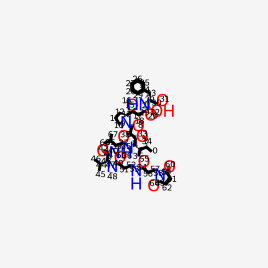 CCC(C)[C@@H](C(CC(=O)N1CCC[C@H]1[C@H](OC)[C@@H](C)C(=O)N[C@@H](Cc1ccccc1)C(=O)O)OC)N(C)C(=O)[C@@H](NC(=O)[C@H](C(C)C)N(C)C(=O)CCNC(=O)CCN1C(=O)C=CC1=O)C(C)C